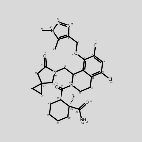 Cc1c(COc2c(F)cc(Cl)c3c2C(CN2CC4(CC4)CC2=O)N(C(=O)[C@@H]2CCCC[C@]2(C)C(N)=O)CC3)nnn1C